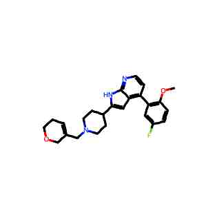 COc1ccc(F)cc1-c1ccnc2[nH]c(C3CCN(CC4=CCCOC4)CC3)cc12